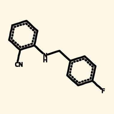 N#Cc1ccccc1NCc1ccc(F)cc1